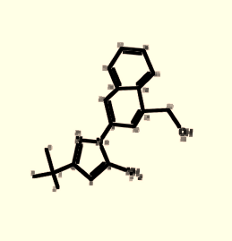 CC(C)(C)c1cc(N)n(-c2cc(CO)c3ccccc3c2)n1